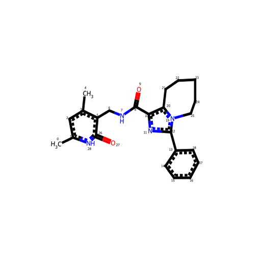 Cc1cc(C)c(CNC(=O)c2nc(-c3ccccc3)n3c2CCCCC3)c(=O)[nH]1